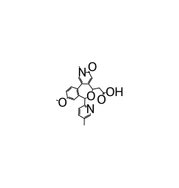 COc1ccc2c(c1)C(c1ccc(C)cn1)OC(CC(=O)O)c1cc(=O)n(C)cc1-2